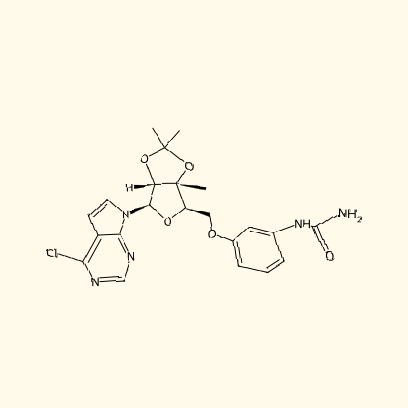 CC1(C)O[C@H]2[C@H](n3ccc4c(Cl)ncnc43)O[C@H](COc3cccc(NC(N)=O)c3)[C@@]2(C)O1